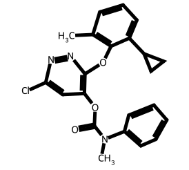 Cc1cccc(C2CC2)c1Oc1nnc(Cl)cc1OC(=O)N(C)c1ccccc1